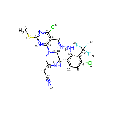 CSc1nc(Cl)c(/C=N/Nc2cccc(Cl)c2C(F)(F)F)c(N2CCNC(CC#N)C2)n1